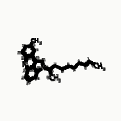 CCCCCCCCC(C)N1Cc2c3cc(C)ccc3nc3cccc1c23